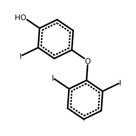 Oc1ccc(Oc2c(I)c[c]cc2I)cc1I